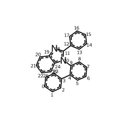 c1ccc(-c2ccccc2-n2c(-c3ccccc3)nc3ccccc32)cc1